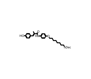 CCCCCCCCCCCCCCCCCCOc1ccc(NC(=O)C(C)=Cc2ccc(O)cc2)cc1